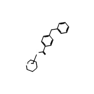 O=C(NC1CC2CCN(CC2)C1)c1ccc(Cc2ccccc2)cc1